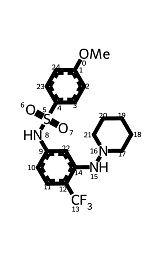 COc1ccc(S(=O)(=O)Nc2ccc(C(F)(F)F)c(NN3CCCCC3)c2)cc1